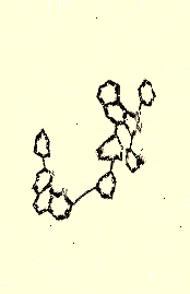 c1ccc(-c2ccc3ccc4ccc(-c5cccc(-c6ccc(-c7cc8ccccc8c8c7c(-c7ccccc7)nn8-c7ccccc7)cc6)c5)nc4c3n2)cc1